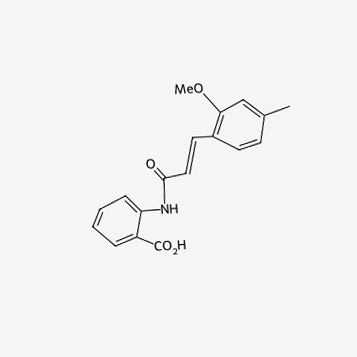 COc1cc(C)ccc1/C=C/C(=O)Nc1ccccc1C(=O)O